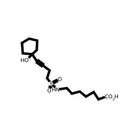 O=C(O)CCCCCCNS(=O)(=O)CCC#CC1(O)CCCCC1